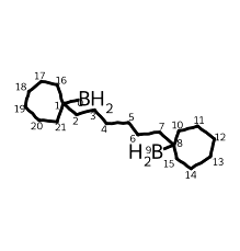 BC1(CCCCCCC2(B)CCCCCC2)CCCCCC1